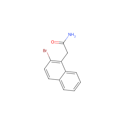 NC(=O)Cc1c(Br)ccc2ccccc12